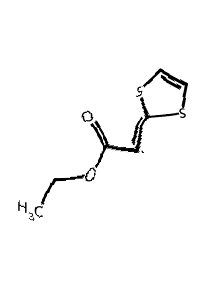 CCOC(=O)[C]=C1SC=CS1